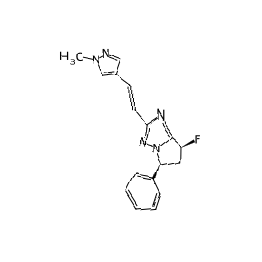 Cn1cc(/C=C/c2nc3n(n2)[C@H](c2ccccc2)C[C@@H]3F)cn1